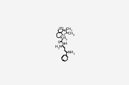 CC(C)N(C)C(=O)C1=C(C=O)CCCN(CC(=O)N/C(N)=C/C=C(\N)C2=CCC=CC=C2)C1